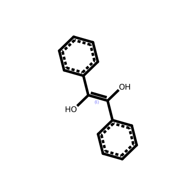 O/C(=C(/O)c1ccccc1)c1ccccc1